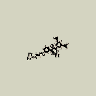 CCn1cc(-c2cccc(OCCCCC(Br)Br)c2)c(=O)c(-c2cc(C3CC3)cc(C3CC3)c2)c1